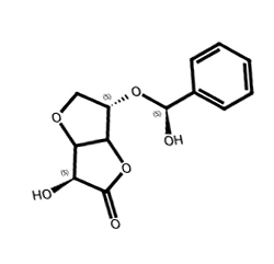 O=C1OC2C(OC[C@@H]2O[C@H](O)c2ccccc2)[C@@H]1O